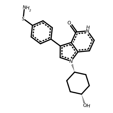 NSc1ccc(-c2cn([C@H]3CC[C@@H](O)CC3)c3cc[nH]c(=O)c23)cc1